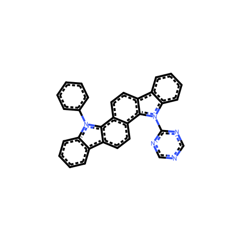 c1ccc(-n2c3ccccc3c3ccc4c(ccc5c6ccccc6n(-c6ncncn6)c54)c32)cc1